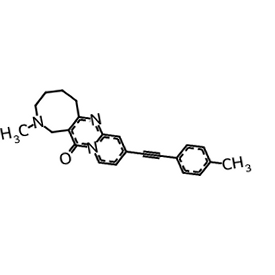 Cc1ccc(C#Cc2ccn3c(=O)c4c(nc3c2)CCCCN(C)C4)cc1